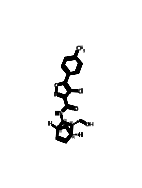 O=C(N[C@H]1[C@H](CO)[C@H]2C=C[C@H]1C2)c1noc(-c2ccc(C(F)(F)F)cc2)c1Cl